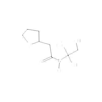 CCC(C)(C)N(C)C(=O)CC1CCCO1